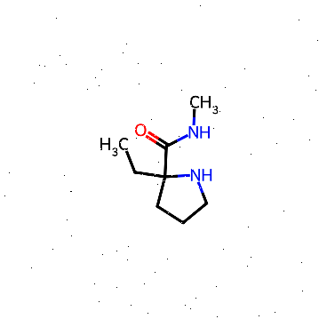 CCC1(C(=O)NC)CCCN1